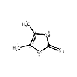 Cc1[se]c(=S)[se]c1C